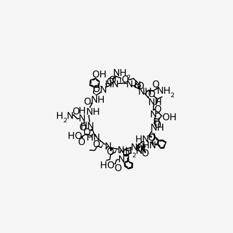 CCCC[C@H]1C(=O)N(C)[C@@H](CCCC)C(=O)N[C@@H](CCC(=O)O)C(=O)N[C@H](C(=O)NCC(N)=O)CNCC(=O)N[C@@H](Cc2ccc(O)cc2)C(=O)N(C)[C@@H](C)C(=O)N[C@@H](CC(N)=O)C(=O)N2CCC[C@H]2C(=O)N[C@@H](CCC(N)=O)C(=O)N[C@@H](CC(C)C)C(=O)N2C[C@H](O)C[C@H]2C(=O)N[C@@H](Cc2c[nH]c3ccccc23)C(=O)N[C@@H](CC(N)=O)C(=O)N[C@@H](Cc2cn(CC(=O)O)c3ccccc23)C(=O)N1C